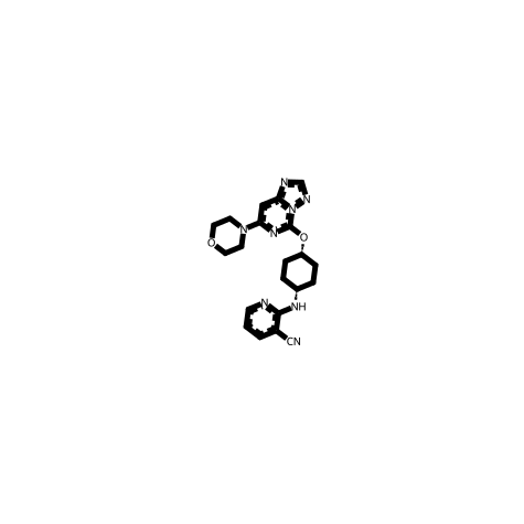 N#Cc1cccnc1N[C@H]1CC[C@@H](Oc2nc(N3CCOCC3)cc3ncnn23)CC1